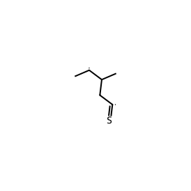 C[CH]C(C)C[C]=S